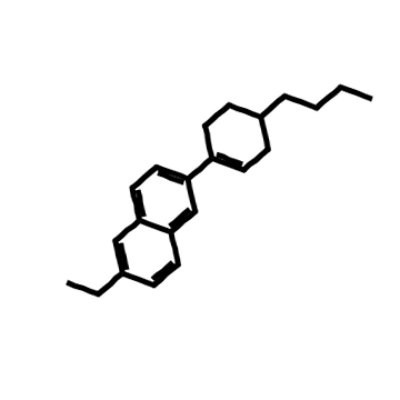 CCCCC1CC=C(c2ccc3cc(CC)ccc3c2)CC1